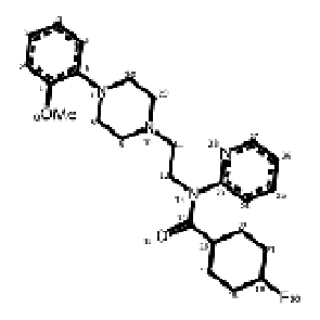 COc1ccccc1N1CCN(CCN(C(=O)C2CCC(F)CC2)c2ccccn2)CC1